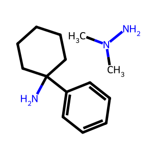 CN(C)N.NC1(c2ccccc2)CCCCC1